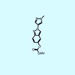 COC(=O)Oc1ccc2nn(-c3cnn(C)c3)cc2c1